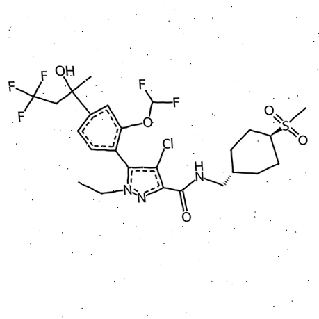 CCn1nc(C(=O)NC[C@H]2CC[C@H](S(C)(=O)=O)CC2)c(Cl)c1-c1ccc(C(C)(O)CC(F)(F)F)cc1OC(F)F